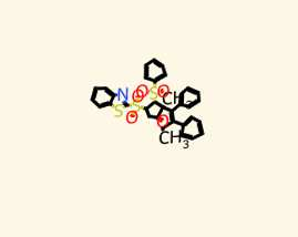 CC/C(=C(/c1ccccc1)C1(C)C(=O)CC(S(=O)(=O)c2nc3ccccc3s2)C1S(=O)(=O)c1ccccc1)c1ccccc1